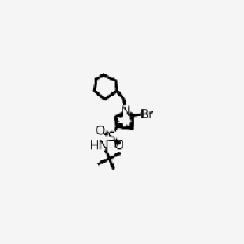 CC(C)(C)NS(=O)(=O)c1cc(Br)n(CC2CCCCC2)c1